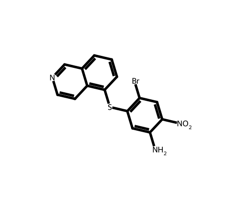 Nc1cc(Sc2cccc3cnccc23)c(Br)cc1[N+](=O)[O-]